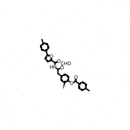 Cc1ccc(C(=O)Oc2ccc(CC(NC(=O)c3ccc(-c4ccc(C)cc4)o3)OC=O)cc2F)cc1